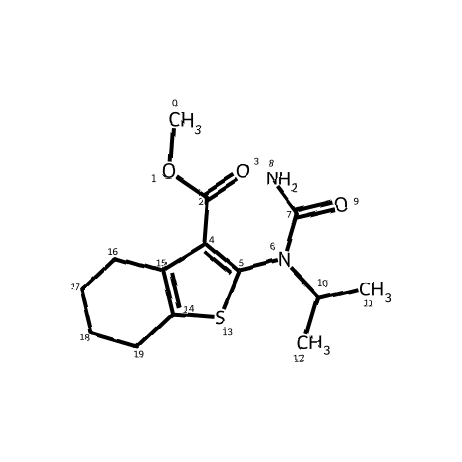 COC(=O)c1c(N(C(N)=O)C(C)C)sc2c1CCCC2